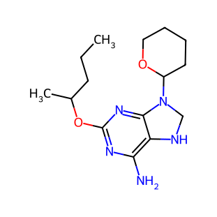 CCCC(C)Oc1nc(N)c2c(n1)N(C1CCCCO1)CN2